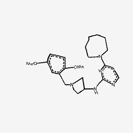 COc1ccc(OC)c(CN2CC(Nc3nccc(N4CCCCCC4)n3)C2)c1